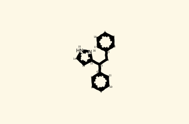 c1ccc(C[C](c2ccccc2)c2cc[nH]n2)cc1